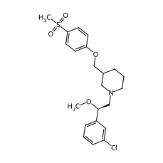 CO[C@@H](CN1CCCC(COc2ccc(S(C)(=O)=O)cc2)C1)c1cccc(Cl)c1